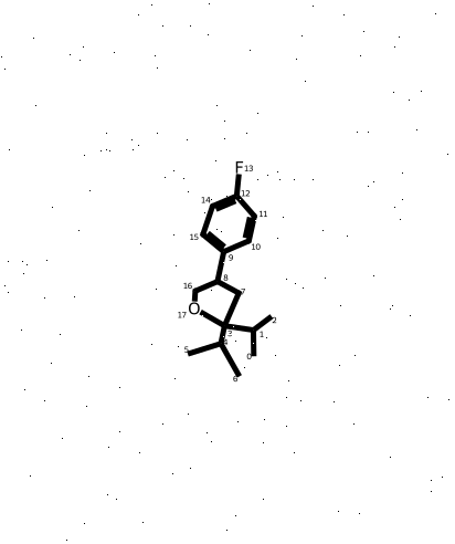 CC(C)C1(C(C)C)CC(c2ccc(F)cc2)CO1